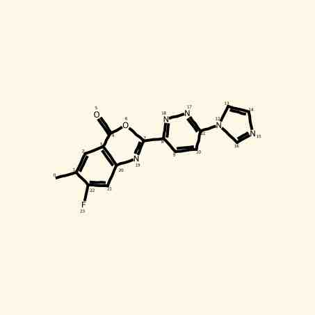 Cc1cc2c(=O)oc(-c3ccc(-n4ccnc4)nn3)nc2cc1F